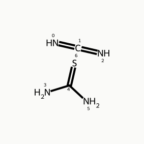 N=C=N.NC(N)=S